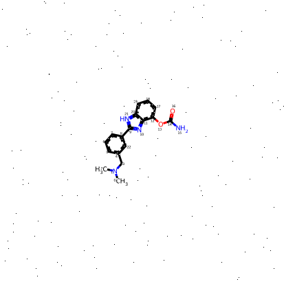 CN(C)Cc1cccc(-c2nc3c(OC(N)=O)cccc3[nH]2)c1